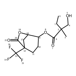 CCC(C)(CO)C(=O)OC1CCC2(C(F)(F)F)CC1OC2=O